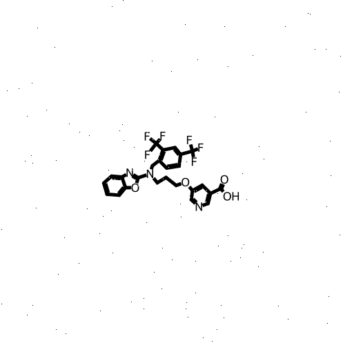 O=C(O)c1cncc(OCCCN(Cc2ccc(C(F)(F)F)cc2C(F)(F)F)c2nc3ccccc3o2)c1